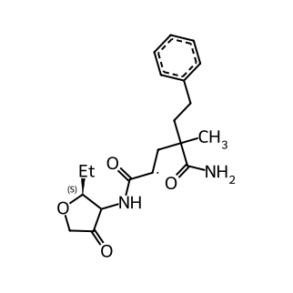 CC[C@@H]1OCC(=O)C1NC(=O)[CH]CC(C)(CCc1ccccc1)C(N)=O